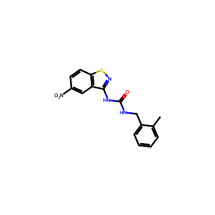 Cc1ccccc1CNC(=O)Nc1nsc2ccc([N+](=O)[O-])cc12